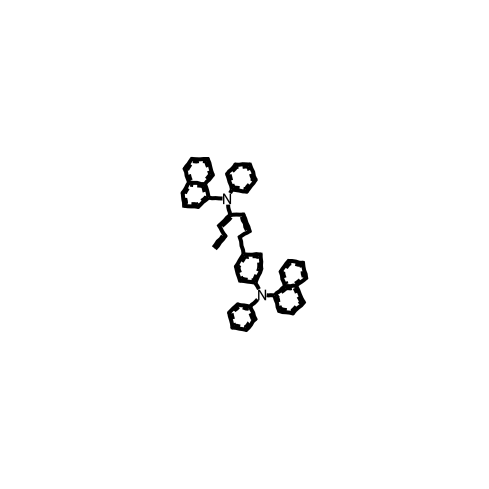 C=C/C=C(\C=C/Cc1ccc(N(c2ccccc2)c2cccc3ccccc23)cc1)N(c1ccccc1)c1cccc2ccccc12